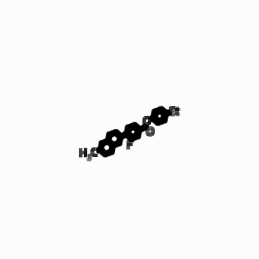 CCc1ccc(OC(=O)c2ccc(C3CCC4CC(C)CCC4C3)c(F)c2)cc1